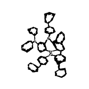 C1=CC(c2ccc3c(c2)N(c2ccc(-c4ccccc4)cc2)B2c4ccc(N(c5ccccc5)c5ccccc5)cc4N(c4ccc(-c5ccccc5)cc4)c4c2c-3cc2ccccc42)=CCC1